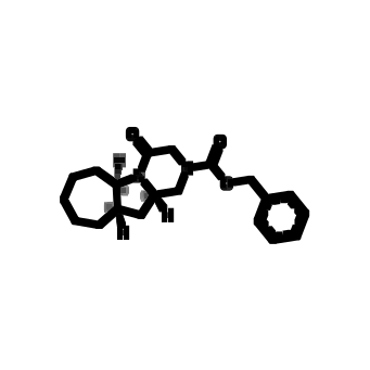 O=C(OCc1ccccc1)N1CC(=O)N2[C@@H](C[C@@H]3CCCCC[C@H]32)C1